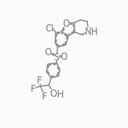 O=S(=O)(c1ccc(C(O)C(F)(F)F)cc1)c1cc(Cl)c2oc3c(c2c1)CNCC3